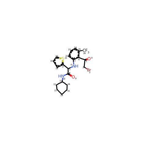 O=C(CBr)c1c(NC(C(=O)NC2CCCCC2)c2cccs2)cccc1C(F)(F)F